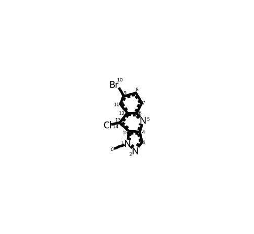 Cn1ncc2nc3ccc(Br)cc3c(Cl)c21